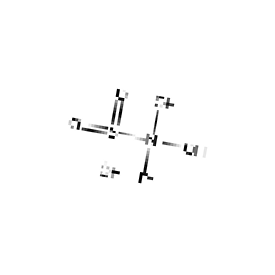 CC[N+](O)(O)S(=O)(=O)O